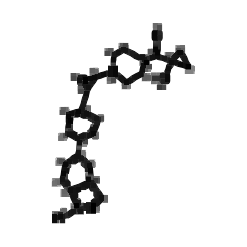 CC(C)n1ncc2cc(-c3ccc(C4OC4N4CCN(C(=O)C5(O)CC5)CC4)cc3)ccc21